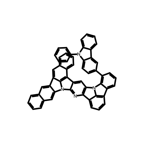 c1ccc(-n2c3ccccc3c3cc(-c4cccc5c6cccc7c8nc9c(cc8n(c45)c67)c4c5ccccc5cc5c6cc7ccccc7cc6n9c54)ccc32)cc1